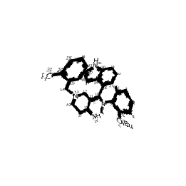 Cc1cccc(OCC(C)C)c1N(C)/C(=C1/CN(Cc2ccccc2C(F)(F)F)CCC1=N)c1cccc2[nH]ccc12